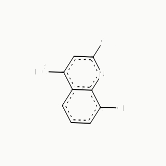 Cc1cc(O)c2cccc(C(F)(F)F)c2n1